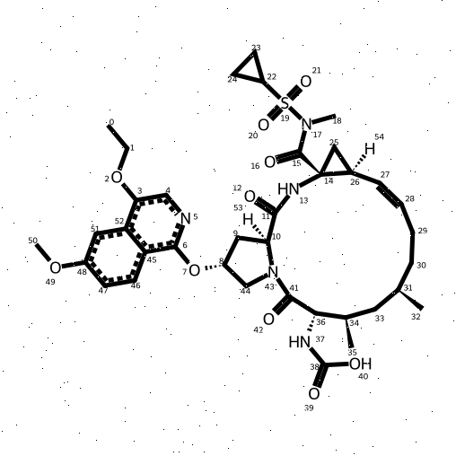 CCOc1cnc(O[C@@H]2C[C@H]3C(=O)N[C@]4(C(=O)N(C)S(=O)(=O)C5CC5)C[C@H]4C=CCC[C@@H](C)C[C@@H](C)[C@H](NC(=O)O)C(=O)N3C2)c2ccc(OC)cc12